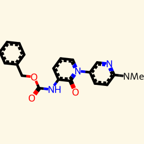 CNc1ccc(-n2cccc(NC(=O)OCc3ccccc3)c2=O)cn1